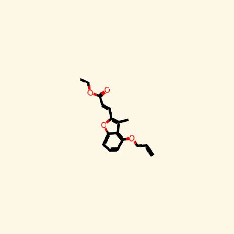 C=CCOc1cccc2oc(C=CC(=O)OCC)c(C)c12